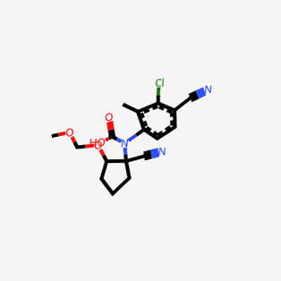 COCOC1CCCC1(C#N)N(C(=O)O)c1ccc(C#N)c(Cl)c1C